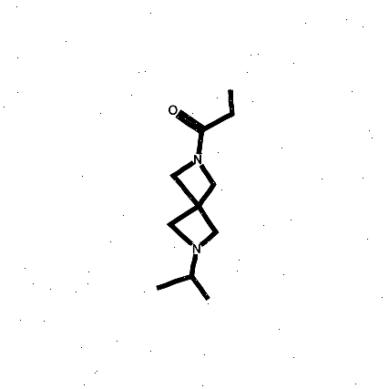 CCC(=O)N1CC2(C1)CN(C(C)C)C2